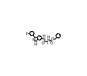 C[C@H](NC(=O)OCc1ccccc1)C(=O)Nc1ccc2c(-c3cccc(F)c3)n[nH]c2c1